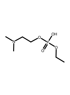 CCOP(=O)(O)OCCN(C)C